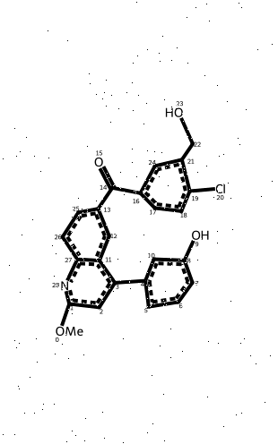 COc1cc(-c2cccc(O)c2)c2cc(C(=O)c3ccc(Cl)c(CO)c3)ccc2n1